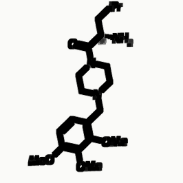 COc1ccc(CN2CCN(C(=O)[C@@H](N)CC(C)C)CC2)c(OC)c1OC